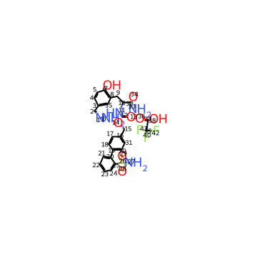 N/N=C\c1ccc(O)c(CC(NC(=O)OCc2ccc(-c3ccccc3S(N)(=O)=O)cc2)C(N)=O)c1.O=C(O)C(F)(F)F